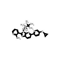 CC(C)(C)[Si](C)(C)On1c(-c2cccnc2N)nc2ccc(-c3ccc(OC4CC4)cn3)nc21